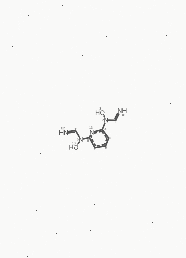 N=CN(O)c1cccc(N(O)C=N)n1